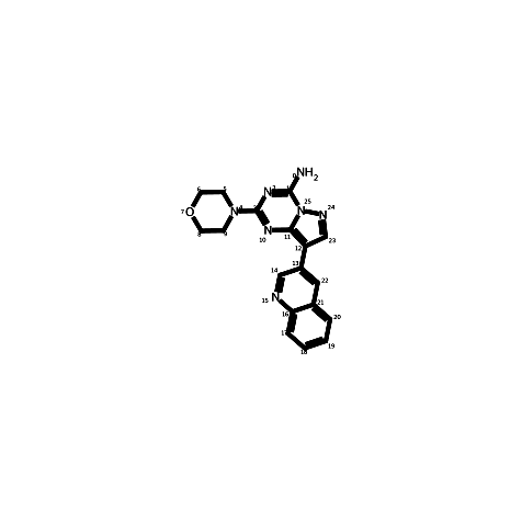 Nc1nc(N2CCOCC2)nc2c(-c3cnc4ccccc4c3)cnn12